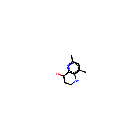 Cc1cc(C)c2c(n1)C(O)CCN2